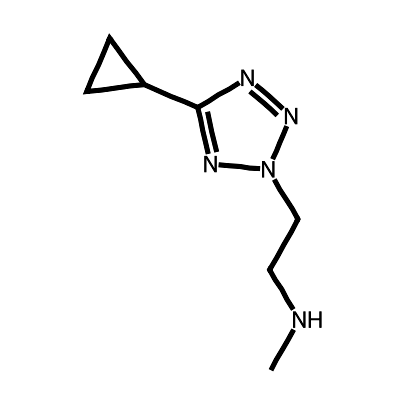 CNCCn1nnc(C2CC2)n1